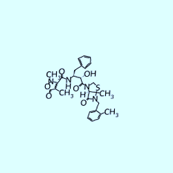 Cc1ccccc1CN1C(=O)[C@H]2N(C(=O)[C@@H](O)[C@H](Cc3ccccc3)NC(=O)c3c(C)c(=O)on3C)CSC21C